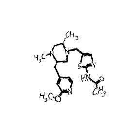 COc1cc(C[C@@H]2CN(Cc3cnc(NC(C)=O)s3)[C@@H](C)CN2C)ccn1